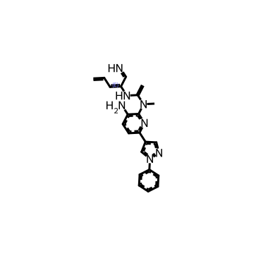 C=C/C=C(\C=N)NC(=C)N(C)c1nc(-c2cnn(-c3ccccc3)c2)ccc1N